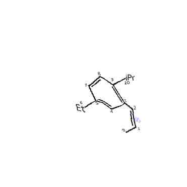 C/C=C\c1cc(CC)ccc1C(C)C